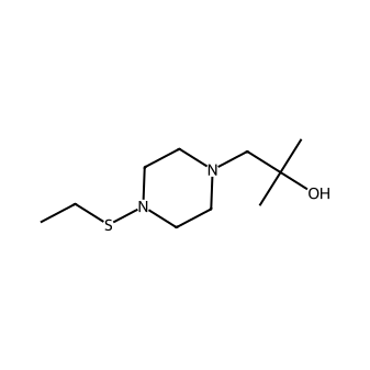 CCSN1CCN(CC(C)(C)O)CC1